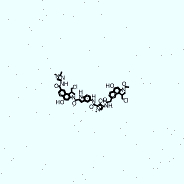 CC(=O)N1CC(CCl)c2c1cc(O)c1ccc(CC(=O)Nc3cn(C)c(C(=O)Nc4ccc5[nH]c(C(=O)N6CC(CCl)c7c6cc(O)c6ccc(C(=O)Nc8cn(C)c(C)n8)cc76)cc5c4)c3O)cc21